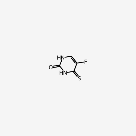 O=c1[nH]cc(F)c(=S)[nH]1